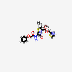 CC1(C)SC2C(NC(=O)COc3ccccc3)C(=O)N2C1C(=O)OCc1nccs1